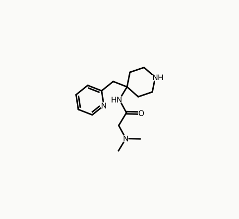 CN(C)CC(=O)NC1(Cc2ccccn2)CCNCC1